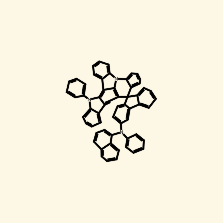 c1ccc(N(c2ccc3c(c2)-c2ccccc2C32c3ccccc3-n3c4ccccc4c4c3c2cc2c3ccccc3n(-c3ccccc3)c24)c2cccc3ccccc23)cc1